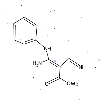 COC(=O)/C(C=N)=C(\N)Nc1ccccc1